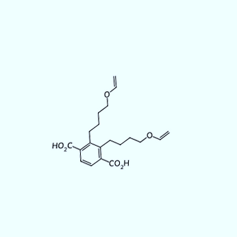 C=COCCCCc1c(C(=O)O)ccc(C(=O)O)c1CCCCOC=C